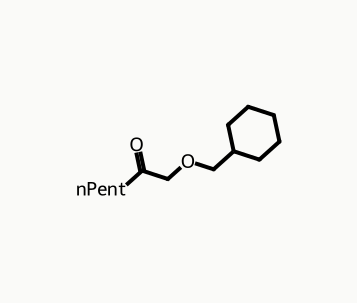 CCCCCC(=O)COCC1CCCCC1